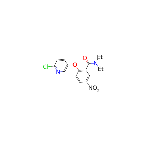 CCN(CC)C(=O)c1cc([N+](=O)[O-])ccc1Oc1ccc(Cl)nc1